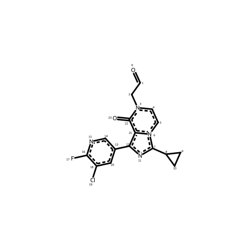 O=CCn1ccn2c(C3CC3)nc(-c3cnc(F)c(Cl)c3)c2c1=O